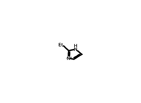 [CH2]CC1=[N+]C=CN1